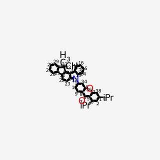 CC(C)c1cc(C(C)C)c2c(=O)c3ccc(-n4c5ccccc5c5c6c(ccc54)-c4ccccc4C6(C)C)cc3oc2c1